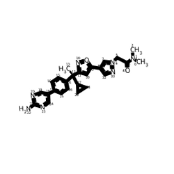 CN(C)C(=O)Cn1cc(-c2cc([C@@](C)(c3ccc(-c4cnc(N)nc4)cc3)C3CC3)no2)cn1